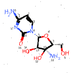 Nc1ccn([C@@H]2O[C@H](CO)[C@@](N)(O)[C@H]2O)c(=O)n1